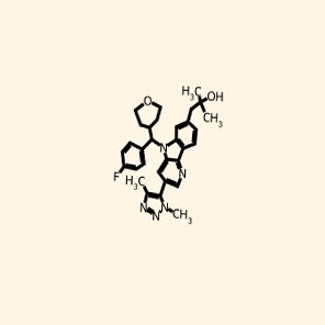 Cc1nnn(C)c1-c1cnc2c3ccc(CC(C)(C)O)cc3n(C(c3ccc(F)cc3)C3CCOCC3)c2c1